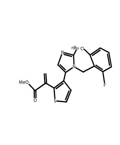 C=C(C(=O)OC)c1sccc1-c1cnc(CCCC)n1Cc1c(F)cccc1Cl